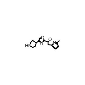 Cc1cccc(CC(=O)c2nc(C3CCNCC3)co2)n1